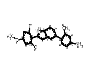 COc1cc(F)c(-c2cc3cc(-c4ccc(N)cc4C)ccc3[nH]2)c(Cl)c1